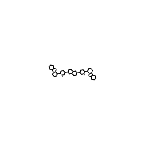 C1=C(c2ccc(-c3ccc4cc(-c5ccc(-c6cccc7c6sc6ccccc67)nc5)ccc4c3)cn2)c2sc3ccccc3c2CC1